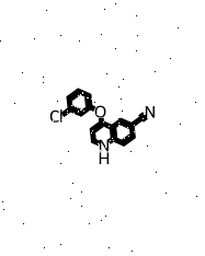 N#Cc1ccc2c(c1)C(Oc1cccc(Cl)c1)=CCN2